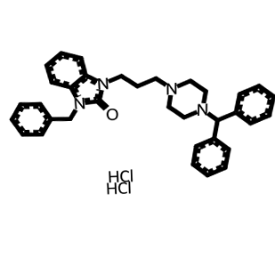 Cl.Cl.O=c1n(CCCN2CCN(C(c3ccccc3)c3ccccc3)CC2)c2ccccc2n1Cc1ccccc1